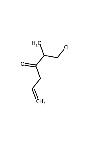 C=CCC(=O)C(C)CCl